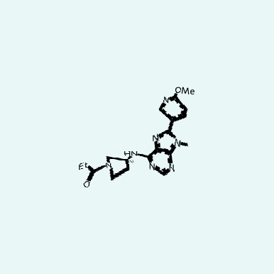 CCC(=O)N1CC[C@H](Nc2ncnc3c2nc(-c2ccc(OC)nc2)n3C)C1